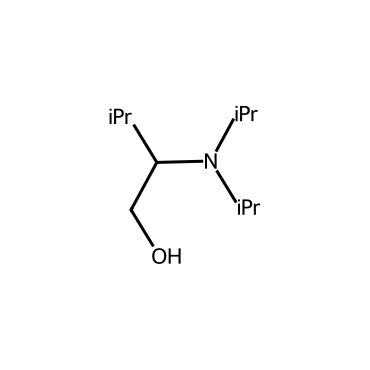 CC(C)C(CO)N(C(C)C)C(C)C